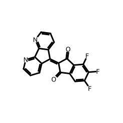 O=C1C(=C2c3cccnc3-c3ncccc32)C(=O)c2c1cc(F)c(F)c2F